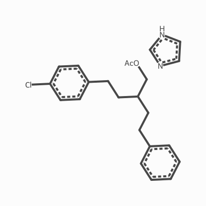 CC(=O)OCC(CCc1ccccc1)CCc1ccc(Cl)cc1.c1c[nH]cn1